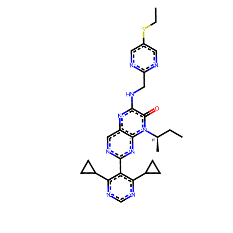 CCSc1cnc(CNc2nc3cnc(-c4c(C5CC5)ncnc4C4CC4)nc3n([C@H](C)CC)c2=O)nc1